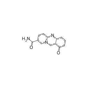 NC(=O)c1ccc2nc3cccc(=O)c-3cn2c1